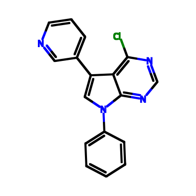 Clc1ncnc2c1c(-c1cccnc1)cn2-c1ccccc1